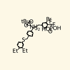 CC(C)(C)S(N)(=O)=O.CCc1ccc(SCc2ccc(CSCc3ccc(C(F)(F)P(=O)(O)O)c(Br)c3)cc2)cc1CC